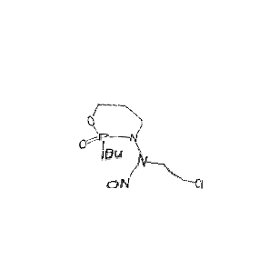 CCC(C)P1(=O)OCCCN1N(CCCl)N=O